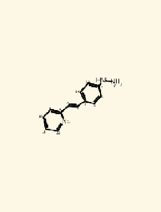 NNc1ccc(/C=C/c2ccccn2)cc1